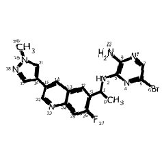 CC(Nc1nc(Br)cnc1N)c1cc2cc(-c3cnn(C)c3)cnc2cc1F